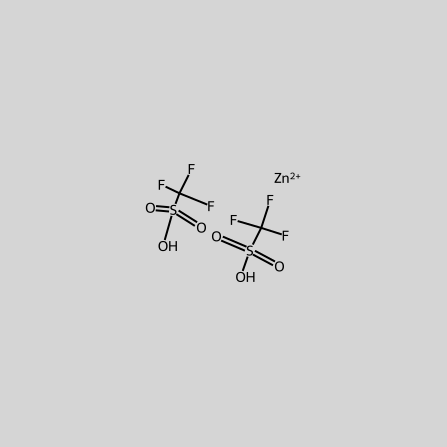 O=S(=O)(O)C(F)(F)F.O=S(=O)(O)C(F)(F)F.[Zn+2]